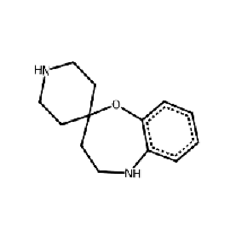 c1ccc2c(c1)NCCC1(CCNCC1)O2